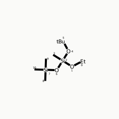 CCO[Si](C)(OC(C)(C)C)O[Si](C)(C)C